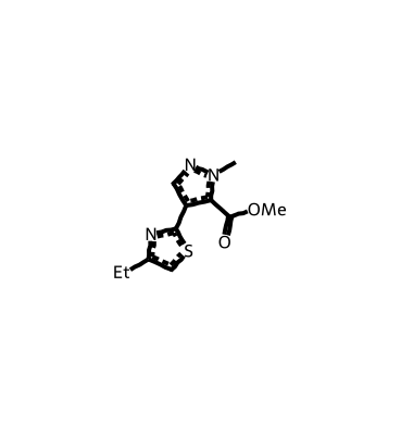 CCc1csc(-c2cnn(C)c2C(=O)OC)n1